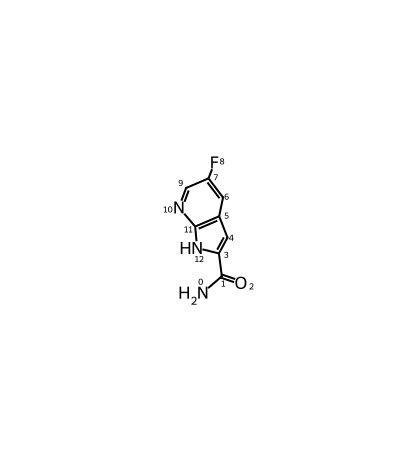 NC(=O)c1cc2cc(F)cnc2[nH]1